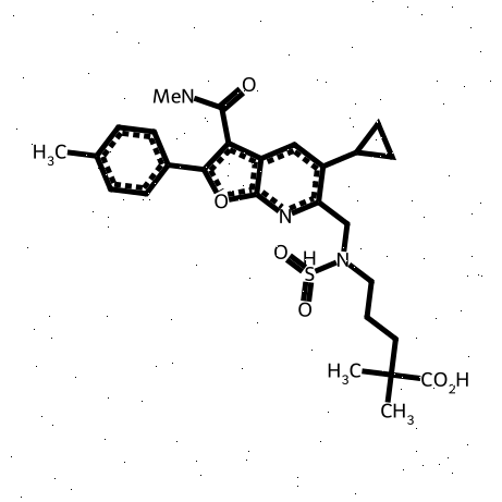 CNC(=O)c1c(-c2ccc(C)cc2)oc2nc(CN(CCCC(C)(C)C(=O)O)[SH](=O)=O)c(C3CC3)cc12